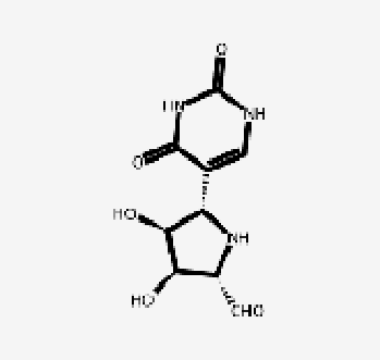 O=C[C@H]1N[C@@H](c2c[nH]c(=O)[nH]c2=O)[C@H](O)[C@@H]1O